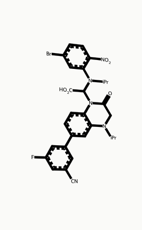 CC(C)N1CC(=O)N(C(C(=O)O)N(c2cc(Br)ccc2[N+](=O)[O-])C(C)C)c2ccc(-c3cc(F)cc(C#N)c3)cc21